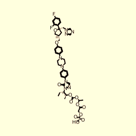 CC[C@@H]([C@H](C)OC(=O)OC(C)OC(=O)COS(=O)(=O)O)n1ncn(-c2ccc(N3CCN(c4ccc(OC[C@@H]5CO[C@@](Cn6cncn6)(c6ccc(F)cc6F)C5)cc4)CC3)cc2)c1=O